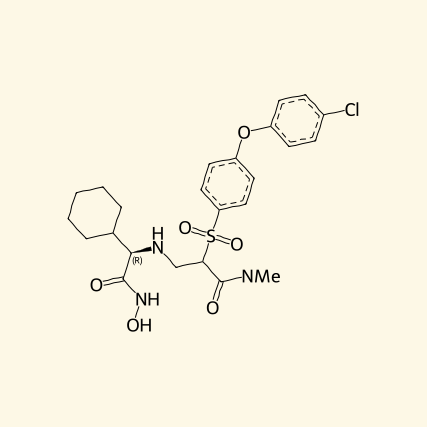 CNC(=O)C(CN[C@@H](C(=O)NO)C1CCCCC1)S(=O)(=O)c1ccc(Oc2ccc(Cl)cc2)cc1